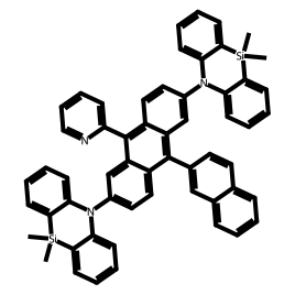 C[Si]1(C)c2ccccc2N(c2ccc3c(-c4ccccn4)c4cc(N5c6ccccc6[Si](C)(C)c6ccccc65)ccc4c(-c4ccc5ccccc5c4)c3c2)c2ccccc21